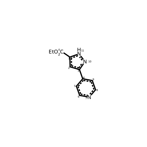 CCOC(=O)c1cc(-c2ccncc2)n[nH]1